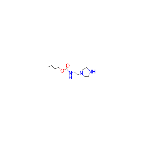 CCCCOC(=O)NCCN1CCNCC1